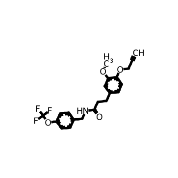 C#CCOc1ccc(CCC(=O)NCc2ccc(OC(F)(F)F)cc2)cc1OC